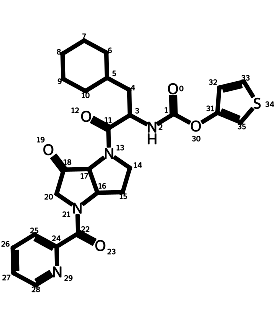 O=C(NC(CC1CCCCC1)C(=O)N1CCC2C1C(=O)CN2C(=O)c1ccccn1)Oc1ccsc1